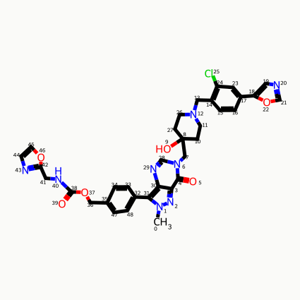 Cn1nc2c(=O)n(CC3(O)CCN(Cc4ccc(-c5cnco5)cc4Cl)CC3)cnc2c1-c1ccc(COC(=O)NCc2ncco2)cc1